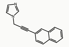 C(#Cc1ccc2ccccc2c1)Cn1ccnc1